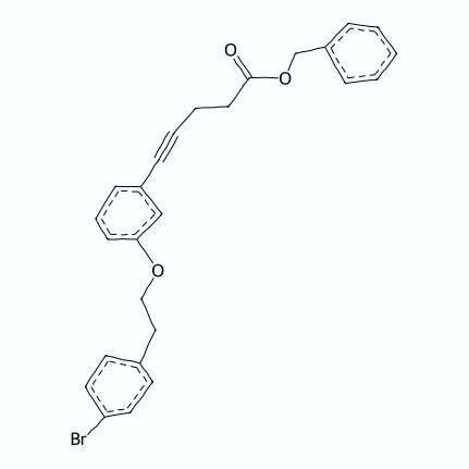 O=C(CCC#Cc1cccc(OCCc2ccc(Br)cc2)c1)OCc1ccccc1